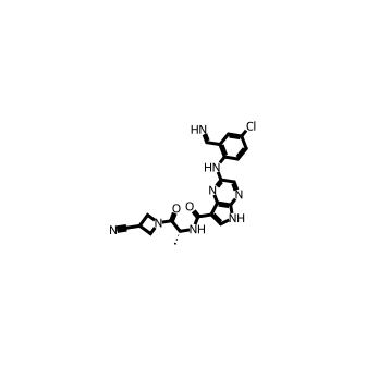 C[C@@H](NC(=O)c1c[nH]c2ncc(Nc3ccc(Cl)cc3C=N)nc12)C(=O)N1CC(C#N)C1